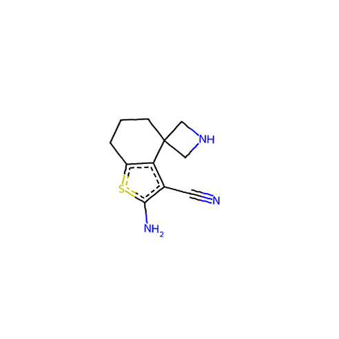 N#Cc1c(N)sc2c1C1(CCC2)CNC1